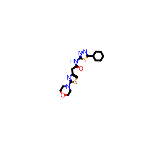 O=C(Cc1csc(N2CCOCC2)n1)Nc1nnc(C2CCCCC2)s1